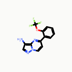 Nc1cnn2ccc(-c3ccccc3OC(F)(F)F)nc12